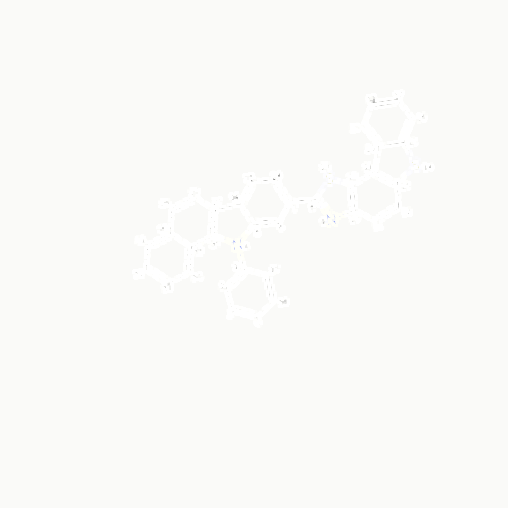 c1ccc(-n2c3cc(-c4nc5ccc6sc7ccccc7c6c5s4)ccc3c3ccc4ccccc4c32)cc1